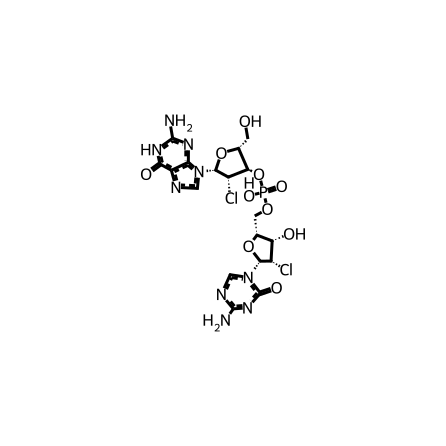 Nc1ncn([C@@H]2O[C@H](COP(=O)(O)O[C@@H]3[C@H](Cl)[C@H](n4cnc5c(=O)[nH]c(N)nc54)O[C@@H]3CO)[C@H](O)[C@@H]2Cl)c(=O)n1